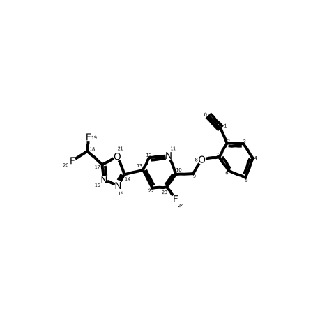 C#Cc1ccccc1OCc1ncc(-c2nnc(C(F)F)o2)cc1F